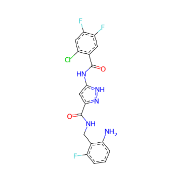 Nc1cccc(F)c1CNC(=O)c1cc(NC(=O)c2cc(F)c(F)cc2Cl)[nH]n1